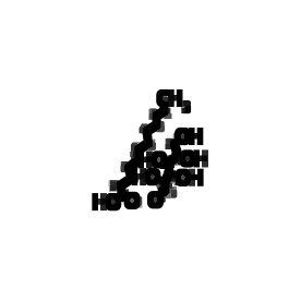 CCCCCCCCCCCC(=O)O.O=C[C@H](O)[C@@H](O)[C@H](O)[C@H](O)CO